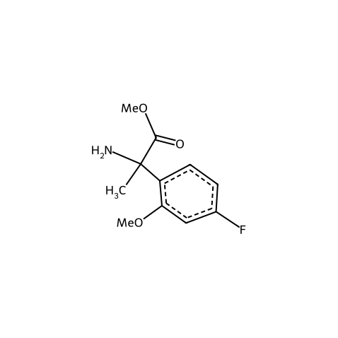 COC(=O)C(C)(N)c1ccc(F)cc1OC